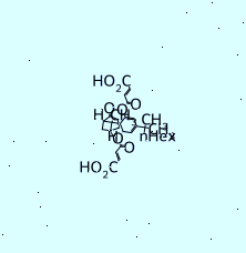 CCCCCCC(C)(C)C1=CC(OC(=O)/C=C/C(=O)O)C(C2(C)[C@@H]3CCC(=O)[C@H]2C3)C(OC(=O)/C=C/C(=O)O)=C1